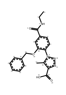 CCNC(=O)c1ccc(-n2nnc(C(=O)O)c2C)c(OCc2ccccc2)c1